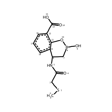 CSCC(=O)NC1CB(O)Oc2c(C(=O)O)cccc21